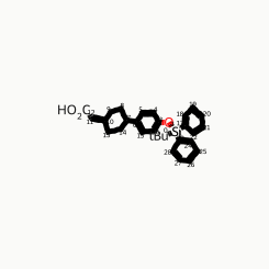 CC(C)(C)[Si](Oc1ccc(C2CCC(=CC(=O)O)CC2)cc1)(c1ccccc1)c1ccccc1